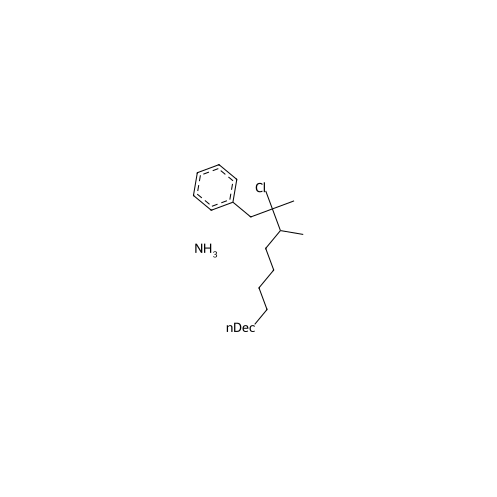 CCCCCCCCCCCCCCC(C)C(C)(Cl)Cc1ccccc1.N